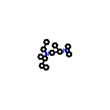 c1ccc(-c2cccc(N(c3ccc(-c4ccc(-n5c6ccccc6c6ccccc65)cc4-c4ccccc4)cc3)c3ccc(-c4cccc5ccccc45)c4ccccc34)c2)cc1